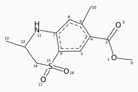 COC(=O)c1cc2c(cc1C)NC(C)CS2(=O)=O